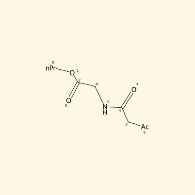 CCCOC(=O)CNC(=O)CC(C)=O